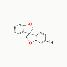 [2H]c1ccc2c(c1)OCC21COc2ccccc21